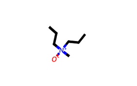 CCC[N+](C)([O-])CCC